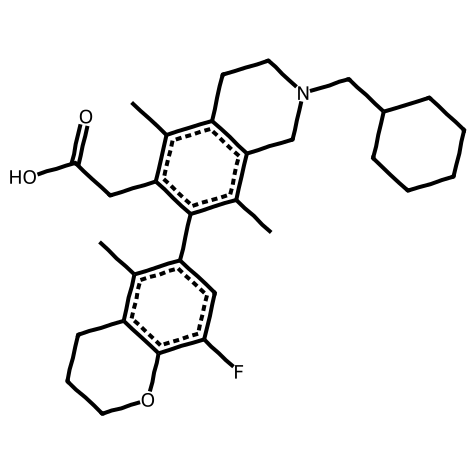 Cc1c(-c2c(C)c3c(c(C)c2CC(=O)O)CCN(CC2CCCCC2)C3)cc(F)c2c1CCCO2